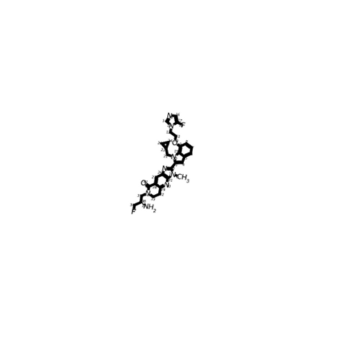 Cn1c(-c2cc3cccc(OCCn4cncc4F)c3n2CC2CC2)nc2cc3c(nc21)CCN(C[C@H](N)CF)C3=O